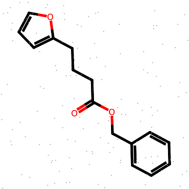 O=C(CCCc1ccco1)OCc1ccccc1